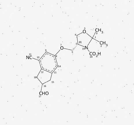 CC1(C)OC[C@@H](COc2cc(C#N)c3c(c2)CC(C=O)C3)N1C(=O)O